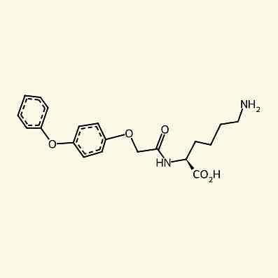 NCCCC[C@H](NC(=O)COc1ccc(Oc2ccccc2)cc1)C(=O)O